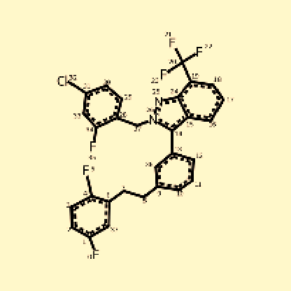 Fc1ccc(F)c(CCc2cccc(-c3c4cccc(C(F)(F)F)c4nn3Cc3ccc(Cl)cc3F)c2)c1